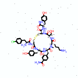 C[C@@H](O)[C@@H]1NC(=O)[C@H](CCCCN)N(C)C(=O)[C@@H](Cc2ccc(C(N)=O)cc2)NC(O)[C@H](Cc2ccc(O)cc2)NC(=O)[C@H](NC(=O)[C@@H](N)Cc2ccc(Cl)cc2)CSSC[C@@H](C(=O)N[C@H](Cc2ccc(O)cc2)C(N)=O)NC1=O